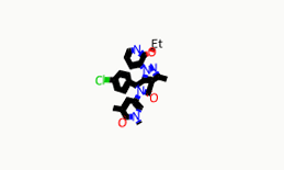 CCOc1ncccc1-n1nc(C)c2c1C(c1ccc(Cl)cc1)N(c1cc(C)c(=O)n(C)c1)C2=O